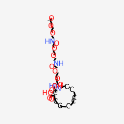 O=[C]COCCOCCNC(=O)COCCOCCNC(=O)COCCOCCNN1C(=O)CCCCCCCCCCCCCCCCC(=O)C(C(=O)O)C[C@H]1C(=O)O